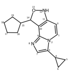 c1cn2c(C3CC3)cnc2c2c1NOC2C1CCCC1